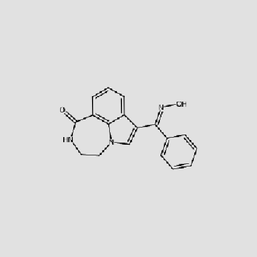 O=C1NCCn2cc(C(=NO)c3ccccc3)c3cccc1c32